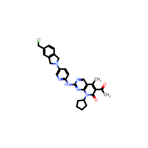 CC(=O)c1c(C)c2cnc(Nc3ccc(N4Cc5ccc(CCl)cc5C4)cn3)nc2n(C2CCCC2)c1=O